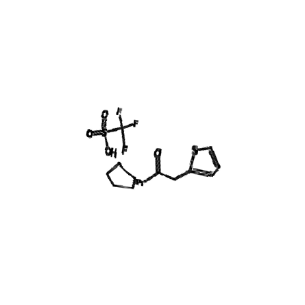 C1CCCC1.CC(C)C(=O)Cc1cccs1.O=S(=O)(O)C(F)(F)F